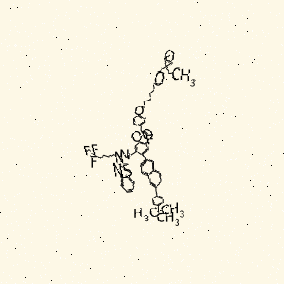 CCC1(COCCCCCCOc2ccc(C(=O)Oc3cc(/C=N/N(CCCCC(F)(F)F)c4nc5ccccc5s4)c(-c4ccc5cc(-c6ccc(C(C)(C)C)cc6)ccc5c4)cc3F)cc2)COC1